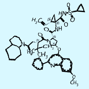 C=C[C@@H]1C[C@]1(NC(=O)[C@@H]1C[C@@H](Oc2cc(-c3ccccc3)nc3cc(OC)ccc23)CN1C(=O)[C@@H](CC(=O)N1CCCC2CCCCC21)C(C)(C)C)C(=O)NS(=O)(=O)C1CC1